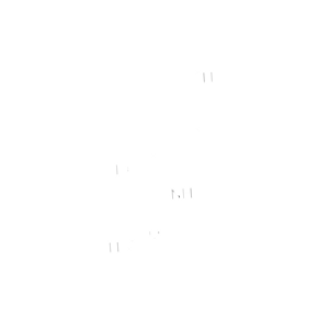 CCc1ccc(NCOC)c(C)c1